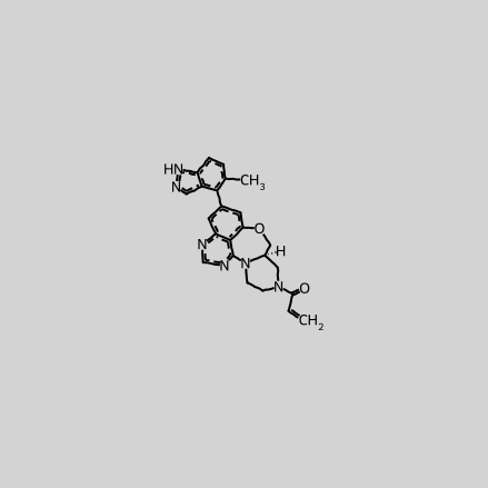 C=CC(=O)N1CCN2c3ncnc4cc(-c5c(C)ccc6[nH]ncc56)cc(c34)OC[C@H]2C1